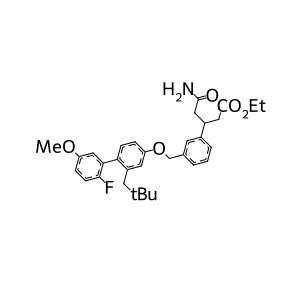 CCOC(=O)CC(CC(N)=O)c1cccc(COc2ccc(-c3cc(OC)ccc3F)c(CC(C)(C)C)c2)c1